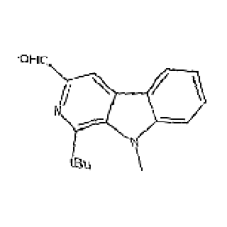 Cn1c2ccccc2c2cc([C]=O)nc(C(C)(C)C)c21